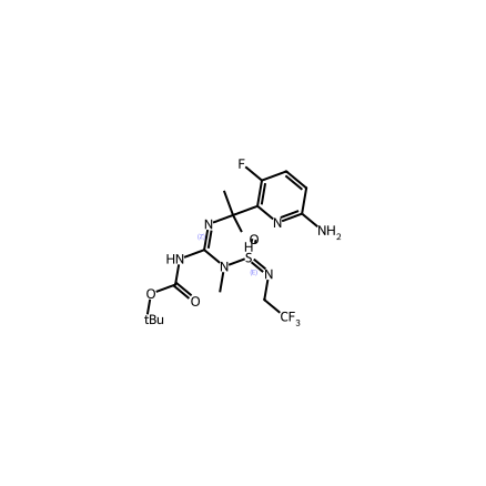 CN(/C(=N\C(C)(C)c1nc(N)ccc1F)NC(=O)OC(C)(C)C)/[SH](=O)=N\CC(F)(F)F